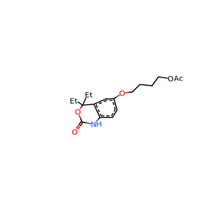 CCC1(CC)OC(=O)Nc2ccc(OCCCCOC(C)=O)cc21